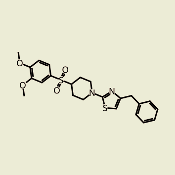 COc1ccc(S(=O)(=O)C2CCN(c3nc(Cc4ccccc4)cs3)CC2)cc1OC